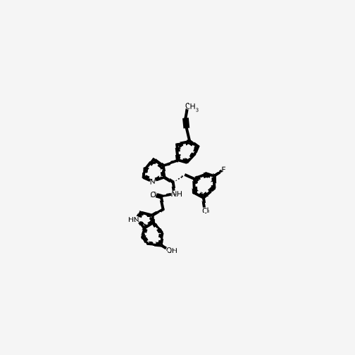 CC#Cc1cccc(-c2cccnc2[C@H](Cc2cc(F)cc(Cl)c2)NC(=O)Cc2c[nH]c3ccc(O)cc23)c1